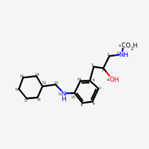 O=C(O)NCC(O)Cc1cccc(NCC2CCCCC2)c1